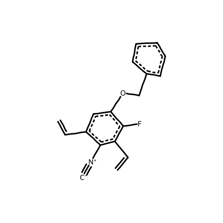 [C-]#[N+]c1c(C=C)cc(OCc2ccccc2)c(F)c1C=C